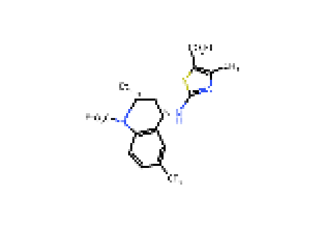 CCOC(=O)c1sc(N[C@H]2C[C@@H](CC)N(C(=O)OCC)c3ccc(C(F)(F)F)cc32)nc1C